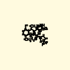 Cc1ccc(F)c(C(C)[C@H](NS(=O)(=O)N2CCC(F)(F)C2)c2n[nH]c(=O)o2)c1C